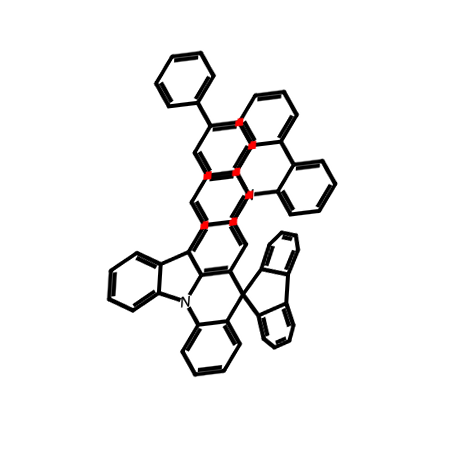 c1ccc(-c2ccc(N(c3cc4c5c(c3)c3ccccc3n5-c3ccccc3C43c4ccccc4-c4ccccc43)c3ccccc3-c3ccccc3-c3ccccc3)cc2)cc1